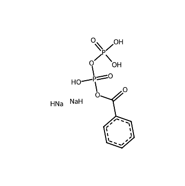 O=C(OP(=O)(O)OP(=O)(O)O)c1ccccc1.[NaH].[NaH]